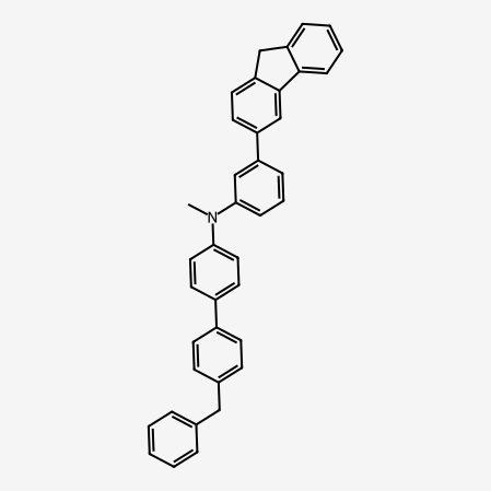 CN(c1ccc(-c2ccc(Cc3ccccc3)cc2)cc1)c1cccc(-c2ccc3c(c2)-c2ccccc2C3)c1